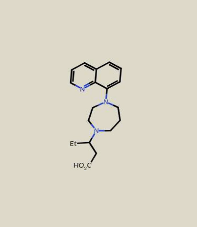 CCC(CC(=O)O)N1CCCN(c2cccc3cccnc23)CC1